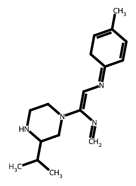 C=N/C(=C\N=C1\C=CC(C)=CC1)N1CCNC(C(C)C)C1